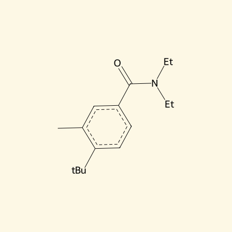 CCN(CC)C(=O)c1ccc(C(C)(C)C)c(C)c1